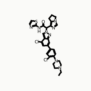 CCN1CCN(c2ccc(-c3cc(Cl)c4cn(C(C(=O)Nc5nccs5)c5ncn6c5CCC6)nc4c3)cc2Cl)CC1